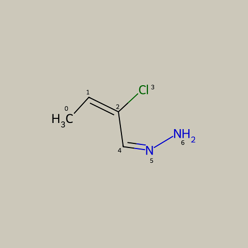 C/C=C(Cl)\C=N/N